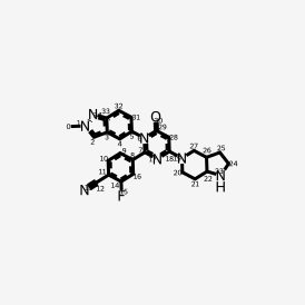 Cn1cc2cc(-n3c(-c4ccc(C#N)c(F)c4)nc(N4CCC5NCCC5C4)cc3=O)ccc2n1